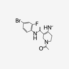 C=C(Nc1ccc(Br)cc1F)C1=C(NC)CCN(C(C)=O)C1